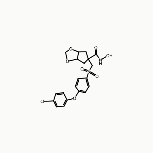 O=C(NO)C1(CS(=O)(=O)c2ccc(Oc3ccc(Cl)cc3)cc2)CC2OCOC2C1